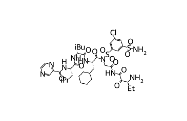 CC[C@H](N)C(=O)C(=O)NC(=O)CN(C(=O)[C@H](CC1CCCCC1)NC(=O)[C@@H](NC(=O)[C@H](CC(C)C)NC(=O)c1cnccn1)[C@@H](C)CC)S(=O)(=O)c1cc(Cl)cc(S(N)(=O)=O)c1